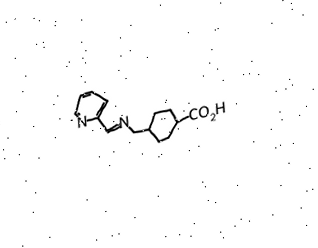 O=C(O)C1CCC(CN=Cc2ccccn2)CC1